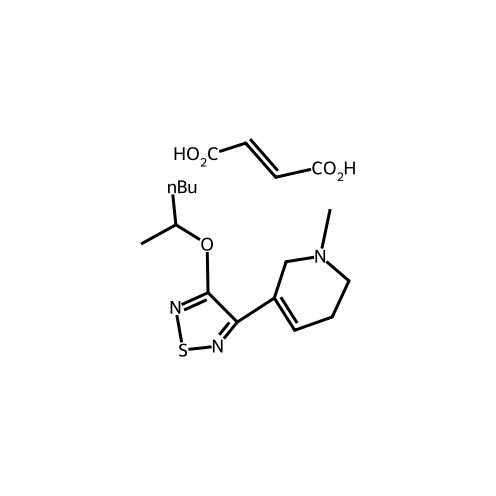 CCCCC(C)Oc1nsnc1C1=CCCN(C)C1.O=C(O)C=CC(=O)O